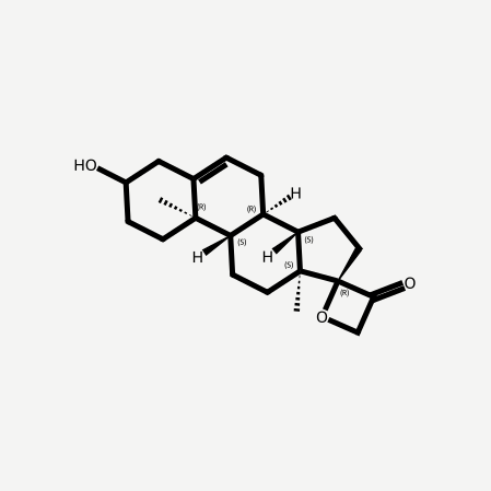 C[C@]12CCC(O)CC1=CC[C@@H]1[C@@H]2CC[C@@]2(C)[C@H]1CC[C@@]21OCC1=O